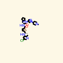 Cc1ncc(Cl)cc1N[C@@H](C)c1ccc(C(=O)N[C@@H](CC2CCCC2)C(=O)Nc2cnn(C3CCN(C)CC3)c2)s1